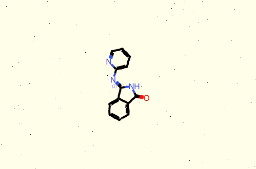 O=C1N/C(=N\c2ccccn2)c2ccccc21